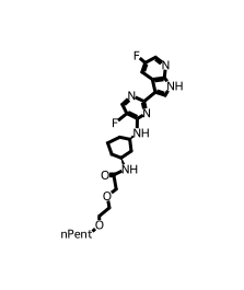 CCCCCOCCOCC(=O)N[C@H]1CCC[C@@H](Nc2nc(-c3c[nH]c4ncc(F)cc34)ncc2F)C1